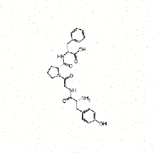 N[C@H](Cc1ccc(O)cc1)C(=O)NCC(=O)N1CCC[C@@H]1C(=O)N[C@H](Cc1ccccc1)C(=O)O